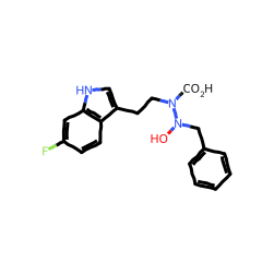 O=C(O)N(CCc1c[nH]c2cc(F)ccc12)N(O)Cc1ccccc1